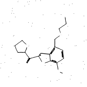 CCCNCc1ccc(OC)c2oc(C(=O)C3CCCN3)cc12